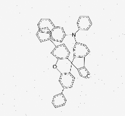 c1ccc(-c2ccc3c(c2)Oc2cc(-c4ccccc4)ccc2C32c3ccccc3-c3ccc(N(c4ccccc4)c4ccc5ccccc5c4)cc32)cc1